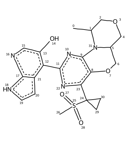 CC1COCC2COc3c(nc(-c4c(O)cnc5[nH]ccc45)nc3C3(S(C)(=O)=O)CC3)N12